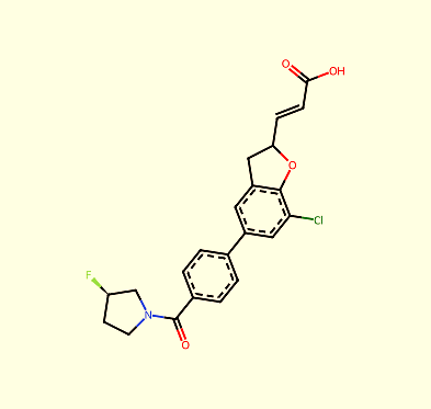 O=C(O)C=CC1Cc2cc(-c3ccc(C(=O)N4CC[C@@H](F)C4)cc3)cc(Cl)c2O1